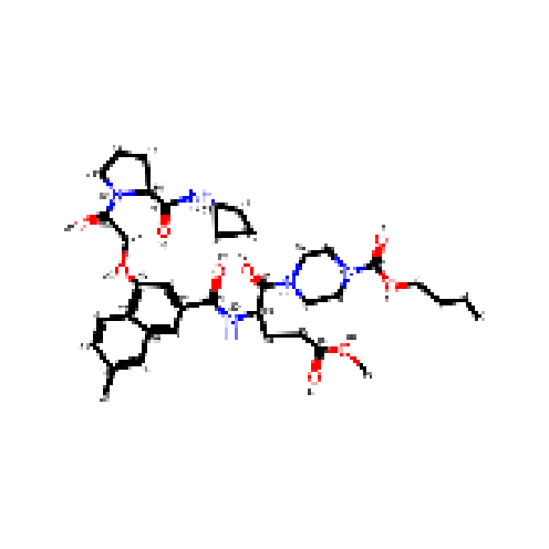 CCCCOC(=O)N1CCN(C(=O)C(CCC(=O)OC)NC(=O)c2cc(OCC(=O)N3CCCC3C(=O)NC3CCC3)c3ccc(C)cc3c2)CC1